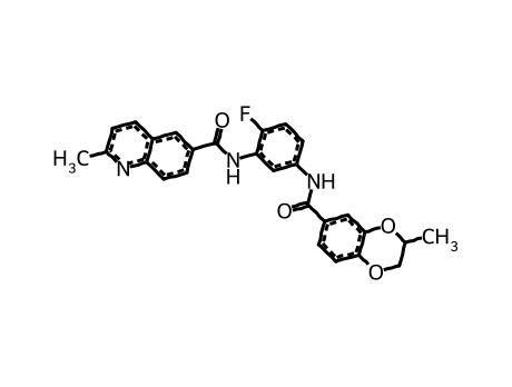 Cc1ccc2cc(C(=O)Nc3cc(NC(=O)c4ccc5c(c4)OC(C)CO5)ccc3F)ccc2n1